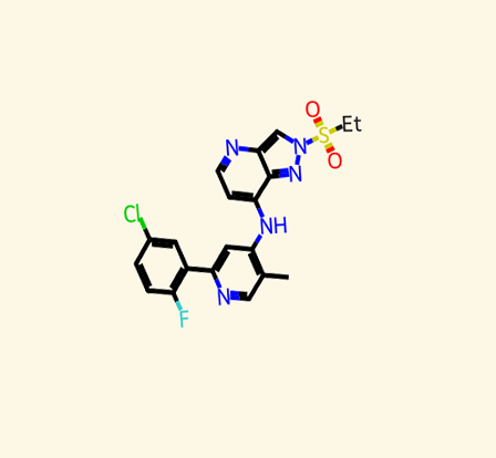 CCS(=O)(=O)n1cc2nccc(Nc3cc(-c4cc(Cl)ccc4F)ncc3C)c2n1